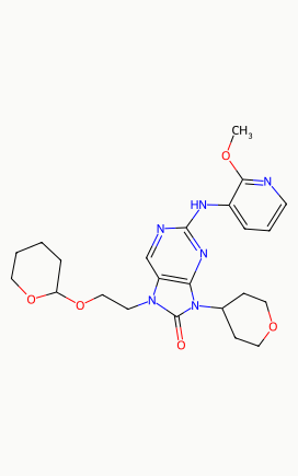 COc1ncccc1Nc1ncc2c(n1)n(C1CCOCC1)c(=O)n2CCOC1CCCCO1